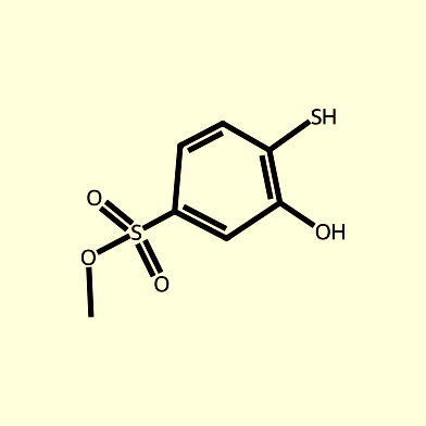 COS(=O)(=O)c1ccc(S)c(O)c1